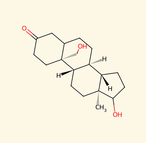 C[C@]12CC[C@H]3[C@@H](CCC4CC(=O)CC[C@@]43CO)[C@@H]1CCC2O